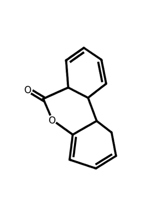 O=C1OC2=CC=CCC2C2C=CC=CC12